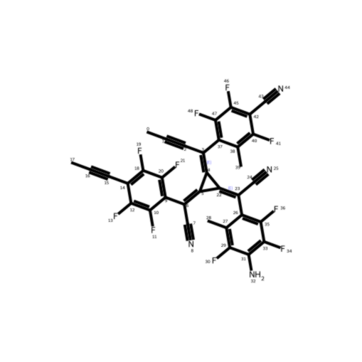 CC#C/C(=C1\C(=C(C#N)c2c(F)c(F)c(C#CC)c(F)c2F)\C1=C(\C#N)c1c(C)c(F)c(N)c(F)c1F)c1c(C)c(F)c(C#N)c(F)c1F